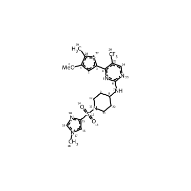 COc1cc(-c2nc(NC3CCN(S(=O)(=O)c4cn(C)cn4)CC3)ncc2C(F)(F)F)sc1C